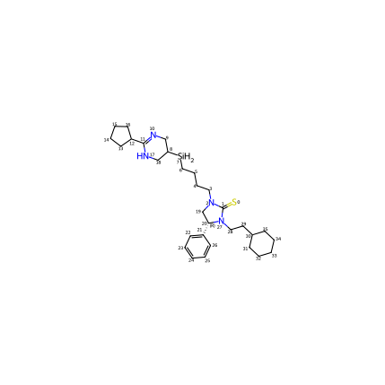 S=C1N(CCCC[SiH2]C2CN=C(C3CCCC3)NC2)C[C@@H](c2ccccc2)N1CCC1CCCCC1